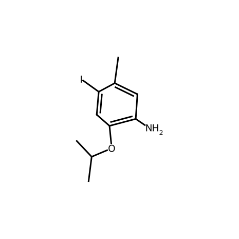 Cc1cc(N)c(OC(C)C)cc1I